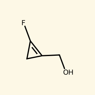 OCC1=C(F)C1